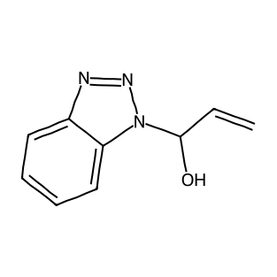 C=CC(O)n1nnc2ccccc21